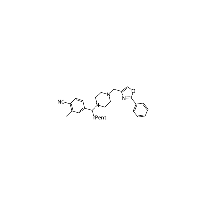 CCCCCC(c1ccc(C#N)c(C)c1)N1CCN(Cc2coc(-c3ccccc3)n2)CC1